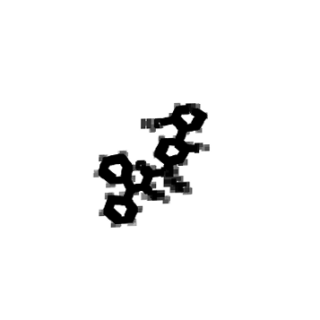 Cc1cnccc1-c1ccc(NC(=O)C(N)C(c2ccccc2)c2ccccc2)cc1F.Cl.Cl